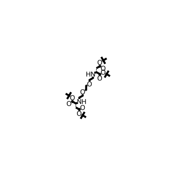 CC(C)(C)OC(=O)C[C@@H](NCCOCCOCCN[C@H](CC(=O)OC(C)(C)C)C(=O)OC(C)(C)C)C(=O)OC(C)(C)C